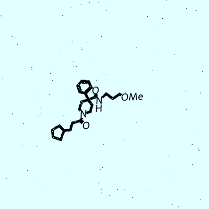 COCCCNC(=O)C1(c2ccccc2)CCN(C(=O)CCC2CCCC2)CC1